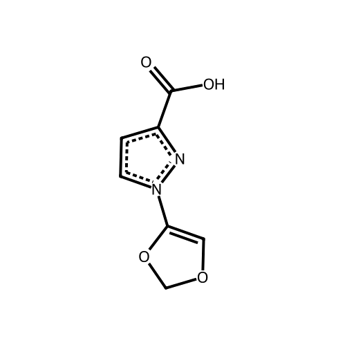 O=C(O)c1ccn(C2=COCO2)n1